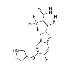 O=c1[nH]ncc(-n2cc3cc(F)c(OC4CCNC4)cc3c2)c1C(F)(F)F